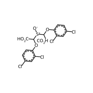 O=C(O)C(Oc1ccc(Cl)cc1Cl)[S+]([O-])C(Oc1ccc(Cl)cc1Cl)C(=O)O